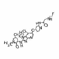 Cc1cc(Nc2nc3ncc(Oc4ccnc(NC(=O)CNCCF)c4)c(Cl)c3n2C)c(=O)n(C)c1